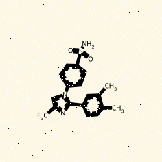 Cc1ccc(-c2nc(C(F)(F)F)cn2-c2ccc(S(N)(=O)=O)cc2)cc1C